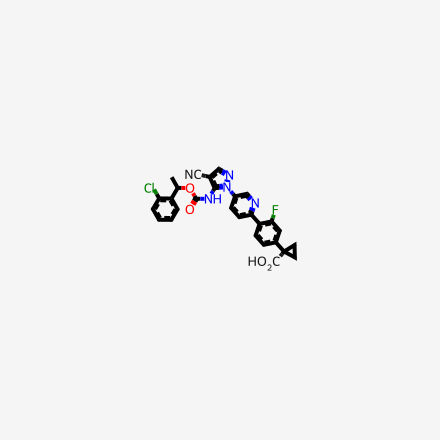 CC(OC(=O)Nc1c(C#N)cnn1-c1ccc(-c2ccc(C3(C(=O)O)CC3)cc2F)nc1)c1ccccc1Cl